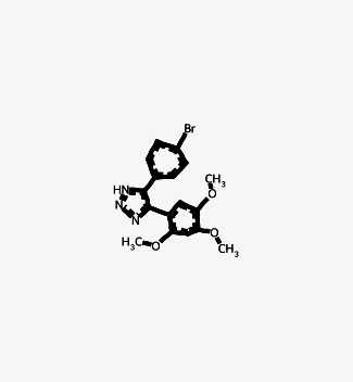 COc1cc(OC)c(-c2nn[nH]c2-c2ccc(Br)cc2)cc1OC